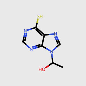 CC(O)n1cnc2c(S)ncnc21